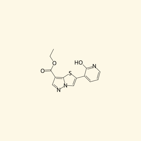 CCOC(=O)c1cnn2cc(-c3cccnc3O)sc12